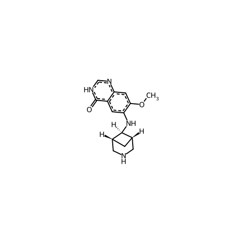 COc1cc2nc[nH]c(=O)c2cc1N[C@H]1[C@@H]2CNC[C@H]1C2